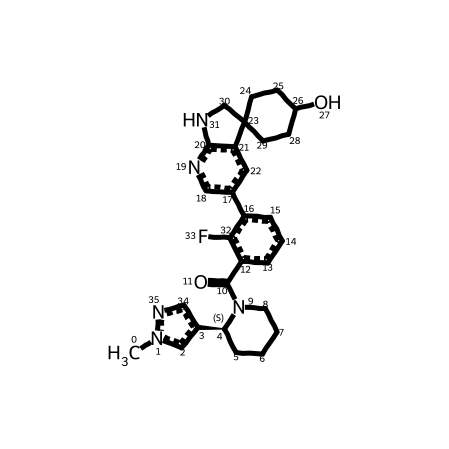 Cn1cc([C@@H]2CCCCN2C(=O)c2cccc(-c3cnc4c(c3)C3(CCC(O)CC3)CN4)c2F)cn1